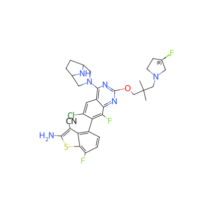 CC(C)(COc1nc(N2CC3CCC(C2)N3)c2cc(Cl)c(-c3ccc(F)c4sc(N)c(C#N)c34)c(F)c2n1)CN1CC[C@@H](F)C1